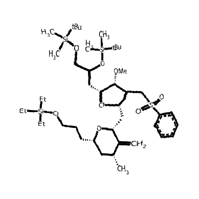 C=C1[C@H](C)C[C@H](CCCO[Si](CC)(CC)CC)O[C@@H]1C[C@@H]1O[C@H](CC(CO[Si](C)(C)C(C)(C)C)O[Si](C)(C)C(C)(C)C)[C@H](OC)C1CS(=O)(=O)c1ccccc1